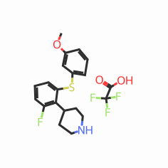 COc1cccc(Sc2cccc(F)c2C2CCNCC2)c1.O=C(O)C(F)(F)F